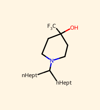 CCCCCCCC(CCCCCCC)N1CCC(O)(C(F)(F)F)CC1